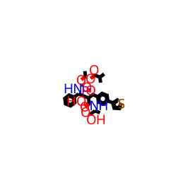 CC(OC(=O)NC(c1ccccc1)C(O)(P=O)C(Cc1ccc(-c2ccsc2)cc1)C(=O)NC(C)C(=O)O)OC(=O)C(C)C